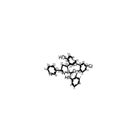 O=C(Nc1ccccc1Oc1ccc(Cl)cc1Cl)N1N=C(c2cccnc2)CC1c1ccccc1O